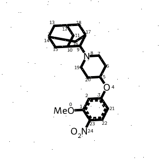 COc1cc(OC2CCN(C3C4CC5CC(C4)CC3C5)CC2)ccc1[N+](=O)[O-]